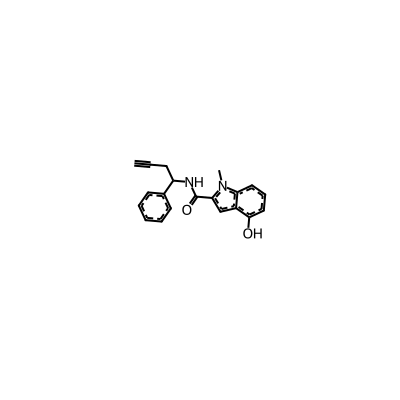 C#CCC(NC(=O)c1cc2c(O)cccc2n1C)c1ccccc1